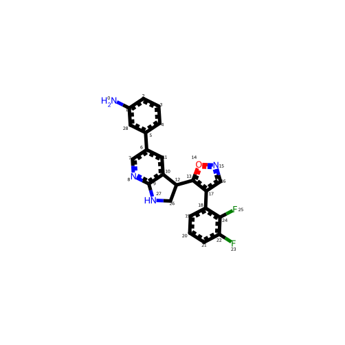 Nc1cccc(-c2cnc3c(c2)C(c2oncc2-c2cccc(F)c2F)CN3)c1